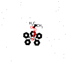 C=C(C)C(=O)OCCC[Si](O[Si](c1ccccc1)(c1ccccc1)c1ccccc1)(c1ccccc1)c1ccccc1